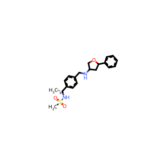 C[C@@H](NS(C)(=O)=O)c1ccc(CNC2COC(c3ccccc3)C2)cc1